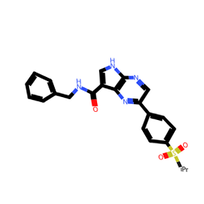 CC(C)S(=O)(=O)c1ccc(-c2cnc3[nH]cc(C(=O)NCc4ccccc4)c3n2)cc1